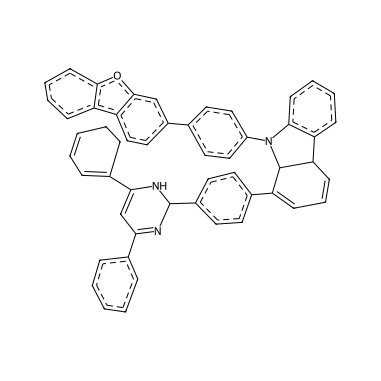 C1=CCCC(C2=CC(c3ccccc3)=NC(c3ccc(C4=CC=CC5c6ccccc6N(c6ccc(-c7ccc8c(c7)oc7ccccc78)cc6)C45)cc3)N2)=C1